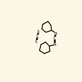 C(=NC1CCCCC1)=NC1CCCCC1.S=C=S